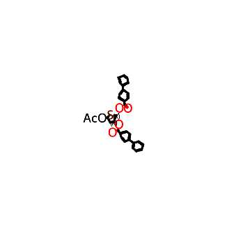 CC(=O)OC1C[C@@H](OC(=O)c2ccc(-c3ccccc3)cc2)[C@@H](COC(=O)c2ccc(-c3ccccc3)cc2)S1